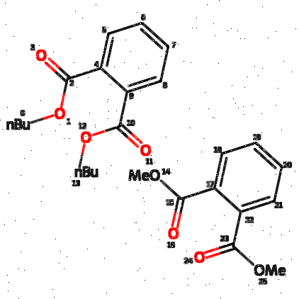 CCCCOC(=O)c1ccccc1C(=O)OCCCC.COC(=O)c1ccccc1C(=O)OC